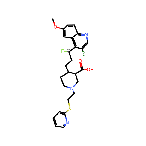 COc1ccc2ncc(Cl)c([C@H](F)CCC3CCN(CCSc4ccccn4)CC3C(=O)O)c2c1